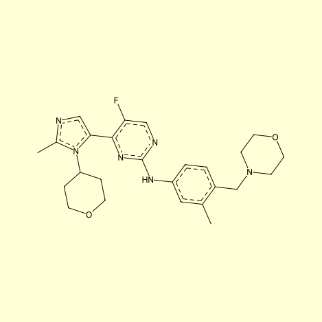 Cc1cc(Nc2ncc(F)c(-c3cnc(C)n3C3CCOCC3)n2)ccc1CN1CCOCC1